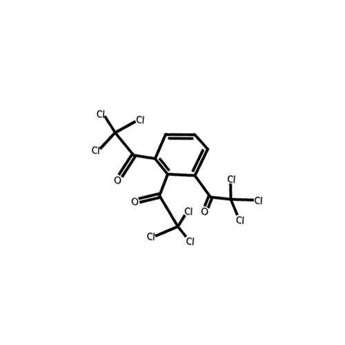 O=C(c1cccc(C(=O)C(Cl)(Cl)Cl)c1C(=O)C(Cl)(Cl)Cl)C(Cl)(Cl)Cl